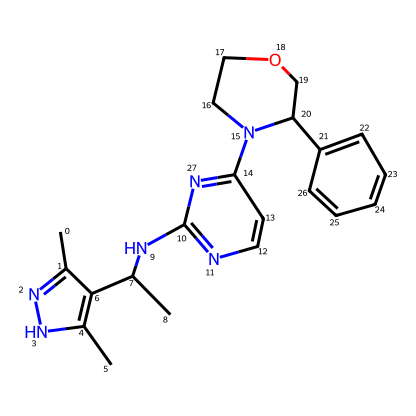 Cc1n[nH]c(C)c1C(C)Nc1nccc(N2CCOCC2c2ccccc2)n1